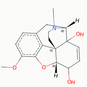 COc1ccc2c3c1O[C@H]1C(O)C=CC4(O)[C@@H](C2)N(C)CC[C@]314